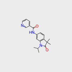 CC(C)N1C(=O)C(C)(C)c2ccc(NC(=O)c3cccnc3)cc21